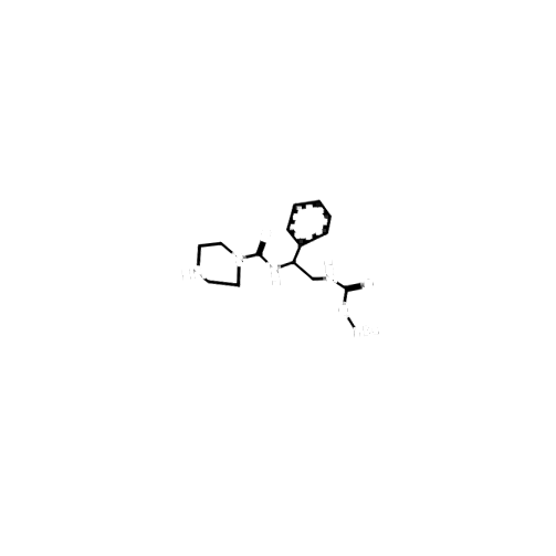 CCCCOC(=O)NCC(NC(=O)N1CCNCC1)c1ccccc1